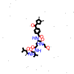 COCCNC(=O)[C@H](CCC(=O)N[C@H](C(=O)N[C@@H](C)C(=O)C(C)C)C(C)C)NC(=O)c1ccc(C(=O)C2C[C@@H](C)[C@@H](C)C2)cc1